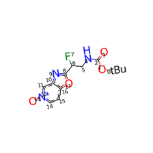 CC(C)(C)OC(=O)NCC(F)c1nc2c[n+]([O-])ccc2o1